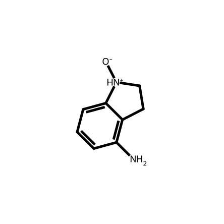 Nc1cccc2c1CC[NH+]2[O-]